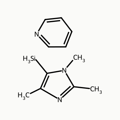 Cc1nc(C)n(C)c1[SiH3].c1ccncc1